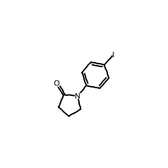 O=C1CCCN1c1ccc(I)cc1